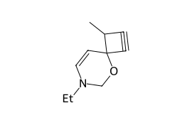 CCN1C=CC2(C#CC2C)OC1